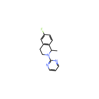 CC1c2ccc(F)cc2CCN1c1ncccn1